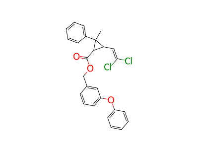 CC1(c2ccccc2)C(C=C(Cl)Cl)C1C(=O)OCc1cccc(Oc2ccccc2)c1